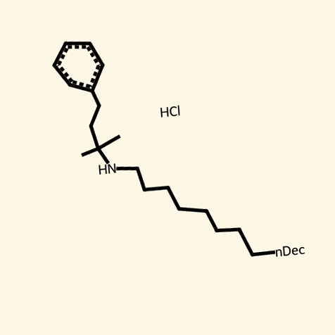 CCCCCCCCCCCCCCCCCCNC(C)(C)CCc1ccccc1.Cl